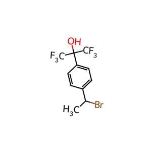 CC(Br)c1ccc(C(O)(C(F)(F)F)C(F)(F)F)cc1